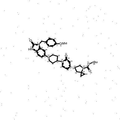 COc1ccc(Cn2c(=O)[nH]c3ccc(N4CCC(n5ccc([C@@H]6CN(C(=O)OC(C)(C)C)C7(CC7)C6)cc5=O)CC4)cc32)cc1